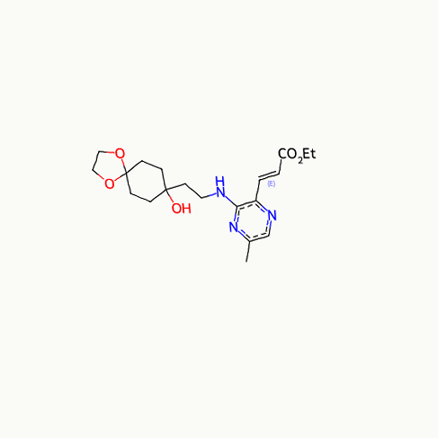 CCOC(=O)/C=C/c1ncc(C)nc1NCCC1(O)CCC2(CC1)OCCO2